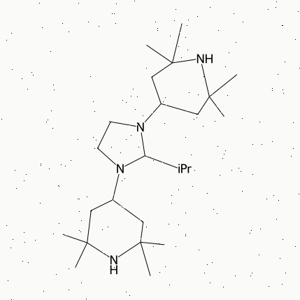 CC(C)C1N(C2CC(C)(C)NC(C)(C)C2)CCN1C1CC(C)(C)NC(C)(C)C1